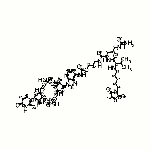 CC(C)C(NCCCCCN1C(=O)C=CC1=O)C(=O)NC(CCCNC(N)=O)C(=O)NCCCOC(=O)Nc1ncnc2c1ncn2[C@@H]1O[C@@H]2COP(=O)(S)O[C@H]3[C@@H](F)[C@H](n4ccc(=O)[nH]c4=O)O[C@@H]3COP(=O)(O)O[C@H]2[C@H]1F